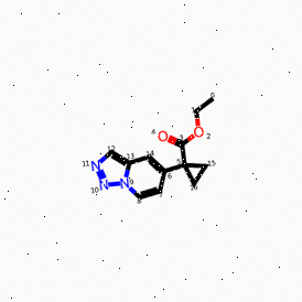 CCOC(=O)C1(c2ccn3nncc3c2)CC1